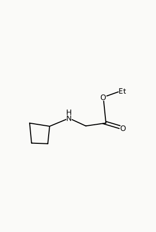 CCOC(=O)CNC1CCC1